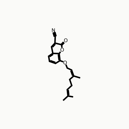 CC(C)=CCCC(C)=CCOc1cccc2cc(C#N)c(=O)oc12